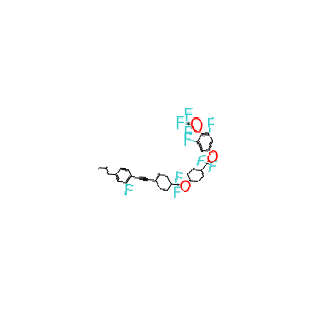 CCCc1ccc(C#CC2CCC(C(F)(F)OC3CCC(C(F)(F)Oc4cc(F)c(OC(F)(F)F)c(F)c4)CC3)CC2)c(F)c1